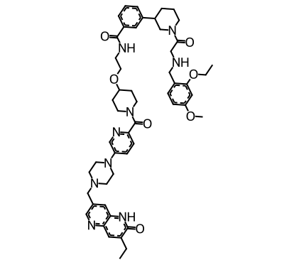 CCOc1cc(OC)ccc1CNCC(=O)N1CCCC(c2cccc(C(=O)NCCOC3CCN(C(=O)c4ccc(N5CCN(Cc6cnc7cc(CC)c(=O)[nH]c7c6)CC5)cn4)CC3)c2)C1